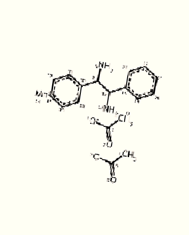 CC(=O)[O-].CC(=O)[O-].NC(c1ccccc1)C(N)c1ccccc1.[Mn+2]